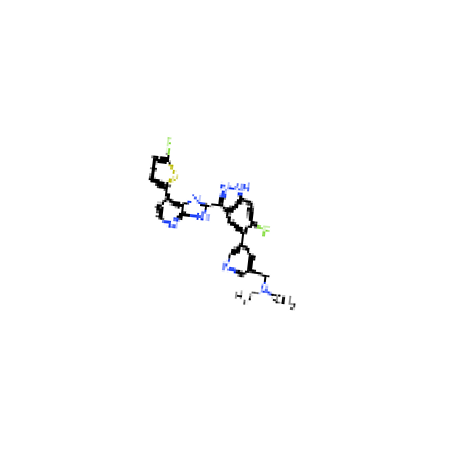 CN(C)Cc1cncc(-c2cc3c(-c4nc5c(-c6ccc(F)s6)ccnc5[nH]4)n[nH]c3cc2F)c1